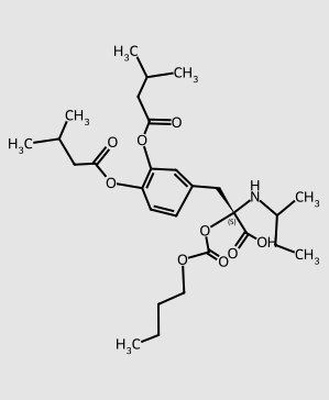 CCCCOC(=O)O[C@](Cc1ccc(OC(=O)CC(C)C)c(OC(=O)CC(C)C)c1)(NC(C)CC)C(=O)O